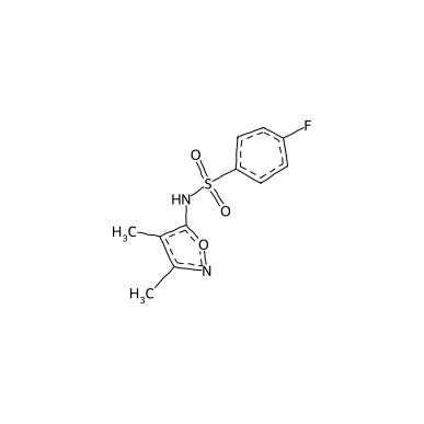 Cc1noc(NS(=O)(=O)c2ccc(F)cc2)c1C